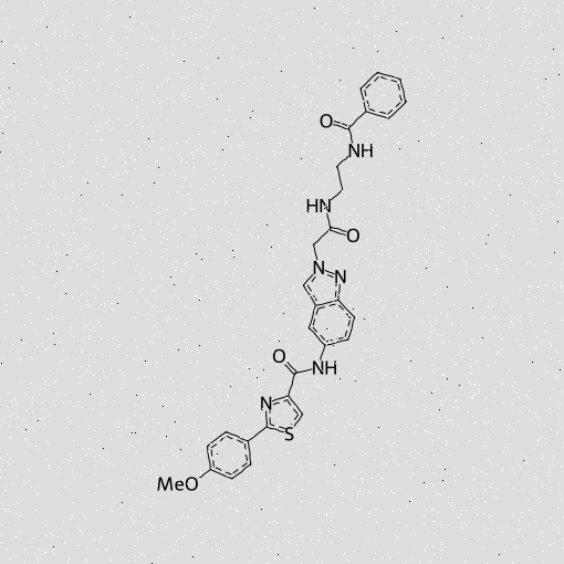 COc1ccc(-c2nc(C(=O)Nc3ccc4nn(CC(=O)NCCNC(=O)c5ccccc5)cc4c3)cs2)cc1